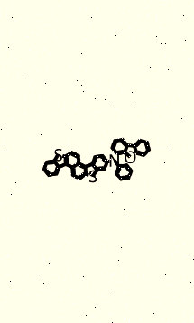 c1ccc(N(c2ccc3c(c2)sc2ccc4c(ccc5sc6ccccc6c54)c23)c2cccc3c2oc2ccccc23)cc1